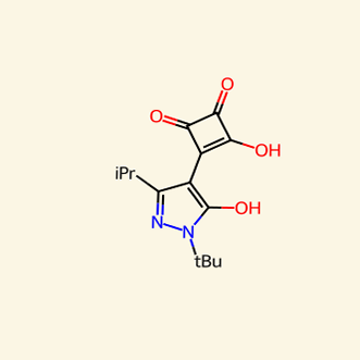 CC(C)c1nn(C(C)(C)C)c(O)c1-c1c(O)c(=O)c1=O